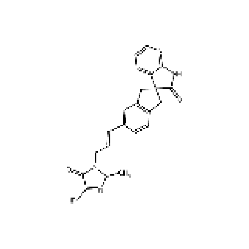 CC(C)C1=NC(C)N(C/C=C/c2ccc3c(c2)CC2(C3)C(=O)Nc3ncccc32)C1=O